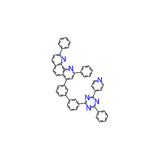 c1ccc(-c2ccc3ccc4c(-c5cccc(-c6cccc(-c7nc(-c8ccccc8)nc(-c8ccncc8)n7)c6)c5)cc(-c5ccccc5)nc4c3n2)cc1